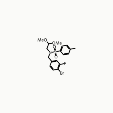 COC(CN(Cc1ccc(Br)c(F)c1)S(=O)(=O)c1ccc(C)cc1)OC